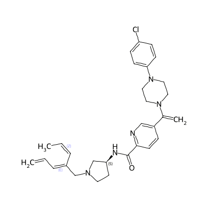 C=C/C=C(\C=C/C)CN1CC[C@H](NC(=O)c2ccc(C(=C)N3CCN(c4ccc(Cl)cc4)CC3)cn2)C1